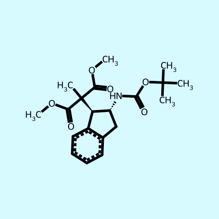 COC(=O)C(C)(C(=O)OC)[C@@H]1c2ccccc2C[C@H]1NC(=O)OC(C)(C)C